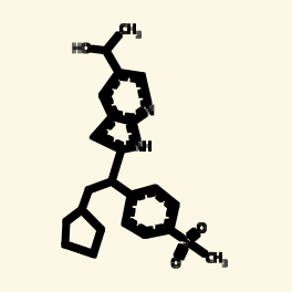 CC(O)c1cnc2[nH]c(C(CC3CCCC3)c3ccc(S(C)(=O)=O)cc3)cc2c1